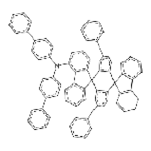 C1=CC2=C(CC1)c1ccccc1C21c2ccc(-c3ccccc3)cc2C2(c3ccccc3-c3c(N(c4ccc(-c5ccccc5)cc4)c4ccc(-c5ccccc5)cc4)cccc32)c2cc(-c3ccccc3)ccc21